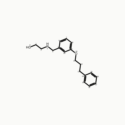 OCCNCc1cccc(OCCCc2ccccc2)c1